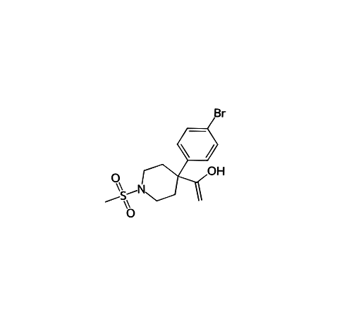 C=C(O)C1(c2ccc(Br)cc2)CCN(S(C)(=O)=O)CC1